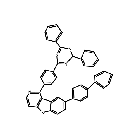 c1ccc(C2=NC(c3ccc(-c4nccc5sc6ccc(-c7ccc(-c8ccccc8)cc7)cc6c45)cc3)=NC(c3ccccc3)N2)cc1